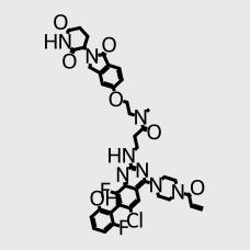 C=CC(=O)N1CCN(c2nc(NCCC(=O)N(C)CCOc3ccc4c(c3)CN(C3CCC(=O)NC3=O)C4=O)nc3c(F)c(-c4c(O)cccc4F)c(Cl)cc23)CC1